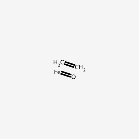 C=C.[O]=[Fe]